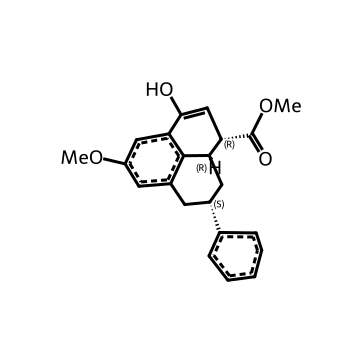 COC(=O)[C@H]1C=C(O)c2cc(OC)cc3c2[C@@H]1C[C@H](c1ccccc1)C3